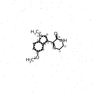 COc1ccc2c(c1)c(C1=NCCNC1=O)cn2C